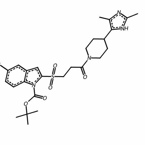 Cc1nc(C)c(C2CCN(C(=O)CCS(=O)(=O)c3cc4cc(Cl)ccc4n3C(=O)OC(C)(C)C)CC2)[nH]1